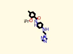 Cc1ccc(C(=O)Nc2ccc(NCCn3cncn3)cc2)c(OC(C)C)c1